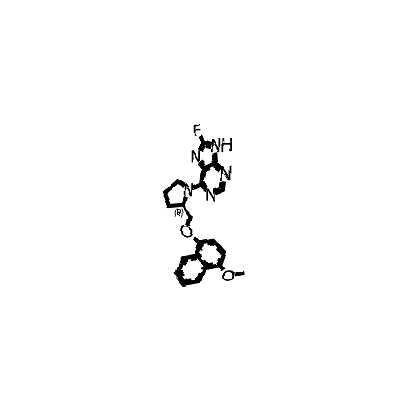 COc1ccc(OC[C@H]2CCCN2c2ncnc3[nH]c(F)nc23)c2ccccc12